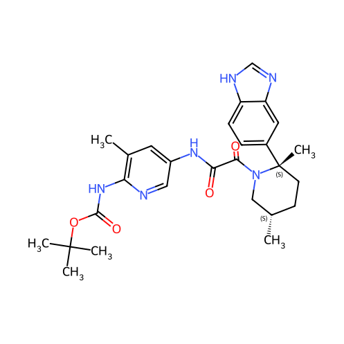 Cc1cc(NC(=O)C(=O)N2C[C@@H](C)CC[C@@]2(C)c2ccc3[nH]cnc3c2)cnc1NC(=O)OC(C)(C)C